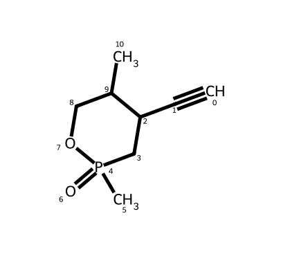 C#CC1CP(C)(=O)OCC1C